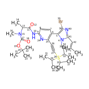 Cc1ccn2c(-c3ccc(NC(=O)C(C)N(C)C(=O)OC(C)(C)C)nc3C#CS(C(C)C)(C(C)C)C(C)C)c(Br)nc2c1